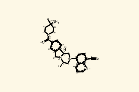 C[C@@H]1CN(c2ccc(C#N)c3ncccc23)C[C@@H]2c3ccc(C(=O)N4CCC(C)(N)CC4)cc3CN12